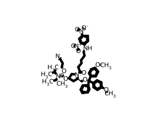 COc1ccc(C(OC[C@H]2C[C@@H](OP(OCCC#N)N(C(C)C)C(C)C)CN2C(=O)CCCCCNc2ccc([N+](=O)[O-])cc2[N+](=O)[O-])(c2ccccc2)c2ccc(OC)cc2)cc1